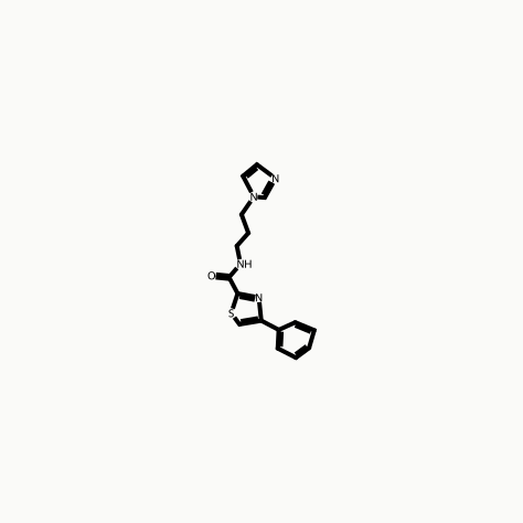 O=C(NCCCn1ccnc1)c1nc(-c2ccccc2)cs1